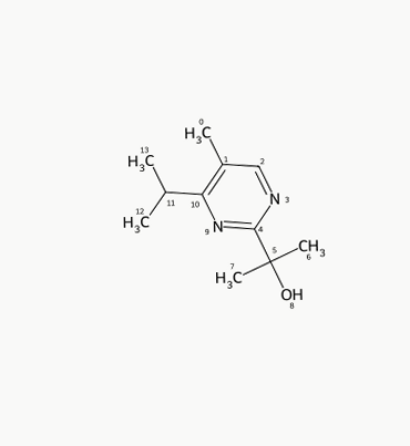 Cc1cnc(C(C)(C)O)nc1C(C)C